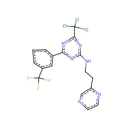 FC(F)(F)c1cccc(-c2nc(NCCc3cnccn3)nc(C(Cl)(Cl)Cl)n2)c1